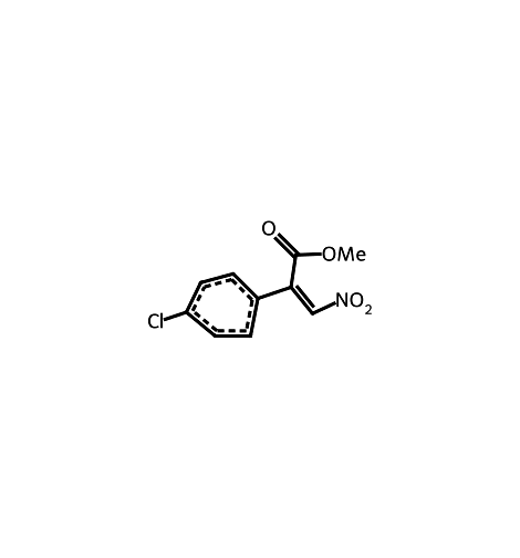 COC(=O)C(=C[N+](=O)[O-])c1ccc(Cl)cc1